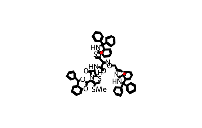 CSC1=C(C(=O)OC(c2ccccc2)c2ccccc2)N2C(=O)C(NC(=O)/C(=N\OCc3csc(NC(c4ccccc4)(c4ccccc4)c4ccccc4)n3)c3csc(NC(c4ccccc4)(c4ccccc4)c4ccccc4)n3)[C@H]2SC1